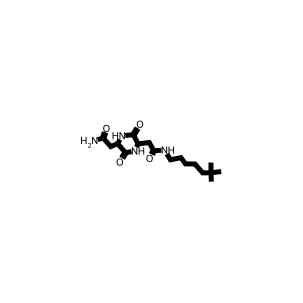 CC(C)(C)CCCCCNC(=O)CC1NC(=O)C(CC(N)=O)NC1=O